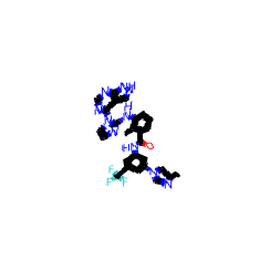 Cc1cn(-c2cc(NC(=O)c3cccc(Nc4nccn4-c4ncnc5[nH]ncc45)c3C)cc(C(F)(F)F)c2)cn1